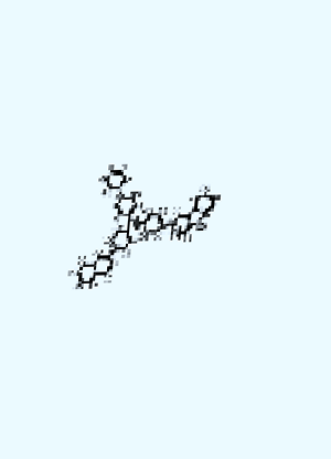 c1ccc(-c2ccc(N(c3ccc(-c4ccc5ccccc5c4)cc3)c3ccc(-c4cc5c(cn4)sc4ccccc45)cc3)cc2)cc1